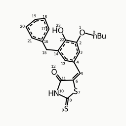 CCCCOc1cc(C=C2SC(=S)NC2=O)cc(Cc2ccccc2)c1O